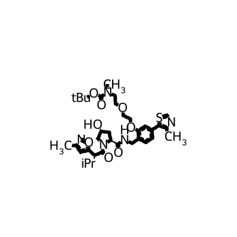 Cc1cc([C@H](C(=O)N2C[C@H](O)C[C@H]2C(=O)NCc2ccc(-c3scnc3C)cc2OCCOCCN(C)C(=O)OC(C)(C)C)C(C)C)on1